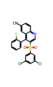 [C-]#[N+]c1ccc2ncc(S(=O)(=O)c3cc(Cl)cc(Cl)c3)c(-c3ccccc3F)c2c1